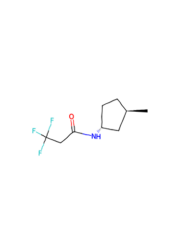 C[C@@H]1CC[C@@H](NC(=O)CC(F)(F)F)C1